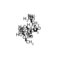 C=CC(=O)NC(C)(C)CS(=O)(=O)[O-].C=CC(N)=O.C=CCOCC(O)CS(=O)(=O)[O-].C=CN1CCCC1=O.[Na+].[Na+]